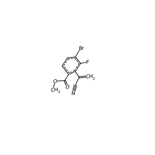 C=C(C#N)c1c(C(=O)OC)ccc(Br)c1F